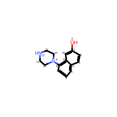 Oc1ccc2cccc(N3CCNCC3)c2c1